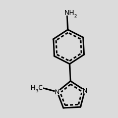 Cn1ccnc1-c1ccc(N)cc1